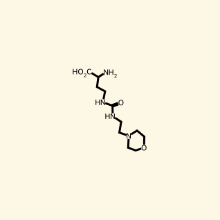 NC(CCNC(=O)NCCN1CCOCC1)C(=O)O